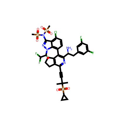 CC(C)(C#Cc1nc([C@@H](N)Cc2cc(F)cc(F)c2)c(-c2ccc(Cl)c3c(N(S(C)(=O)=O)S(C)(=O)=O)nn(C(F)C(F)F)c23)c2c1CCC2)S(=O)(=O)C1CC1